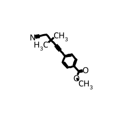 COC(=O)c1ccc(C#CC(C)(C)CC#N)cc1